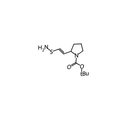 CC(C)(C)OC(=O)N1CCCC1/C=C/SN